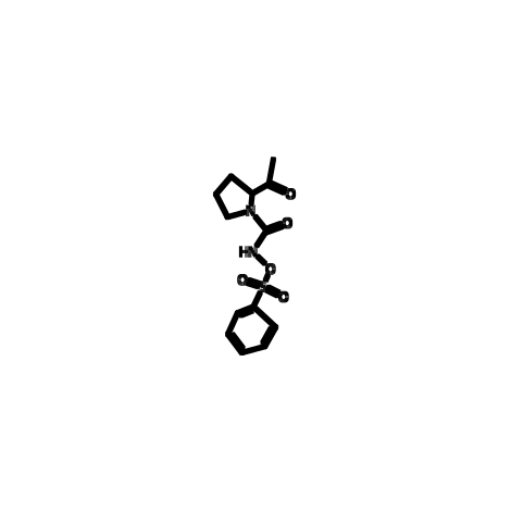 CC(=O)C1CCCN1C(=O)NOS(=O)(=O)c1ccccc1